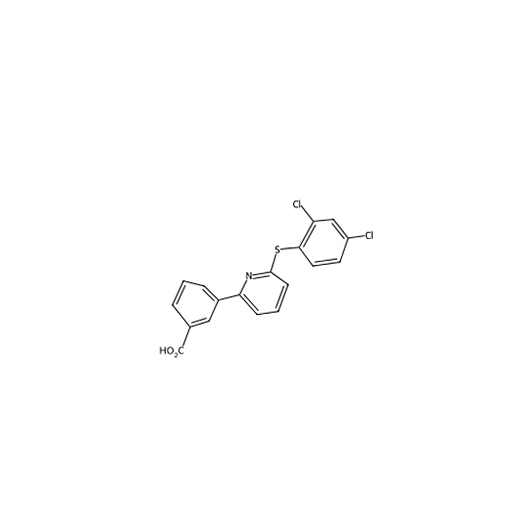 O=C(O)c1cccc(-c2cccc(Sc3ccc(Cl)cc3Cl)n2)c1